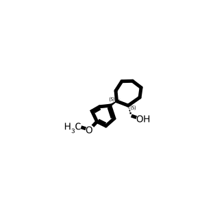 COc1ccc([C@H]2CCCCC[C@@H]2CO)cc1